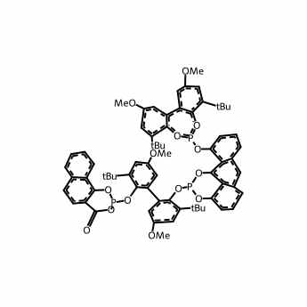 COc1cc(-c2cc(OC)cc(C(C)(C)C)c2OP2Oc3cccc4cc5cccc(Op6oc7c(C(C)(C)C)cc(OC)cc7c7cc(OC)cc(C(C)(C)C)c7o6)c5c(c34)O2)c(OP2OC(=O)c3ccc4ccccc4c3O2)c(C(C)(C)C)c1